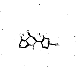 Cc1nc(C(C)(C)C)ccc1-c1cc(=O)c2c(C#N)cccc2[nH]1